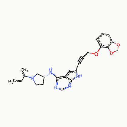 C=CC(=C)N1CC[C@@H](Nc2ncnc3[nH]c(C#CCOc4cccc5c4OCO5)cc23)C1